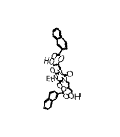 CCn1c(=O)n(CC(CO)OC(=O)c2ccc3ccccc3c2)c(=O)n(CC(CO)OC(=O)c2ccc3ccccc3c2)c1=O